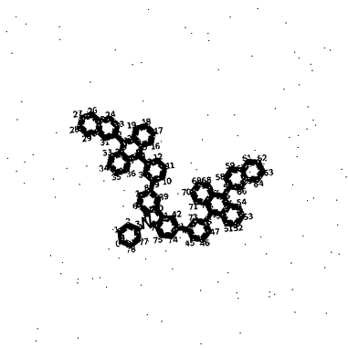 c1ccc(-n2c3ccc(-c4cccc(-c5c6ccccc6c(-c6ccc7ccccc7c6)c6ccccc56)c4)cc3c3cc(-c4cccc(-c5c6ccccc6c(-c6ccc7ccccc7c6)c6ccccc56)c4)ccc32)cc1